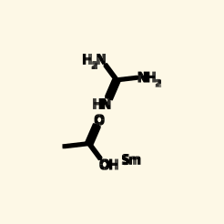 CC(=O)O.N=C(N)N.[Sm]